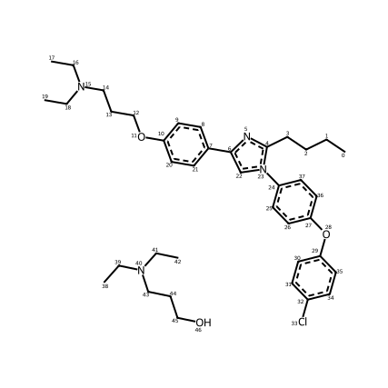 CCCCc1nc(-c2ccc(OCCCN(CC)CC)cc2)cn1-c1ccc(Oc2ccc(Cl)cc2)cc1.CCN(CC)CCCO